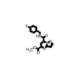 COC(=O)c1cc(C(=O)NCc2ccc(F)cc2)n2nccc2n1